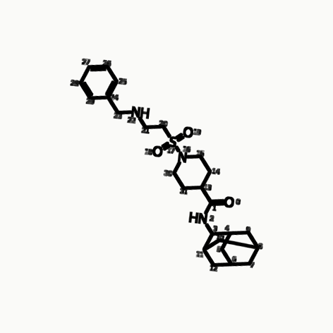 O=C(NC1C2CC3CC(C2)CC1C3)C1CCN(S(=O)(=O)CCNCc2ccccc2)CC1